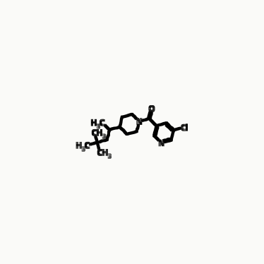 CC(CC(C)(C)C)C1CCN(C(=O)c2cncc(Cl)c2)CC1